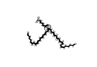 CCCCC/C=C\C/C=C\CCCCCCCCC1(CCCCCCCC/C=C\C/C=C\CCCCC)OCC(CCCCN(C)C)O1